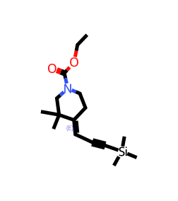 CCOC(=O)N1CC/C(=C\C#C[Si](C)(C)C)C(C)(C)C1